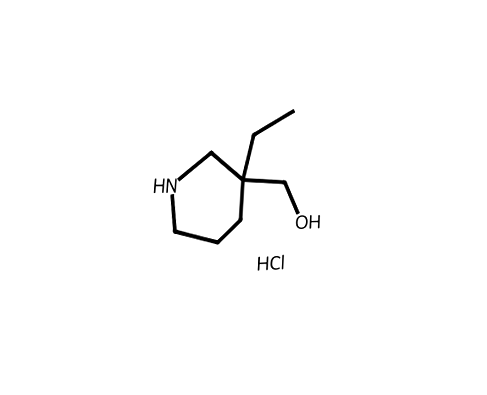 CCC1(CO)CCCNC1.Cl